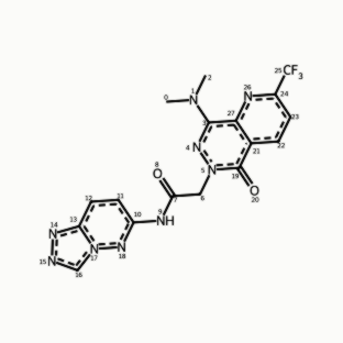 CN(C)c1nn(CC(=O)Nc2ccc3nncn3n2)c(=O)c2ccc(C(F)(F)F)nc12